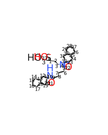 O=S(=O)(O)CCC[n+]1c(C=CC=C2Nc3cc4ccccc4cc3O2)oc2cc3ccccc3cc21.[OH-]